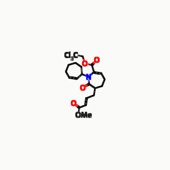 COC(=O)C=CCC1CCC=C(C(=O)OCC(Cl)(Cl)Cl)N(C2C=CCCCC2)C1=O